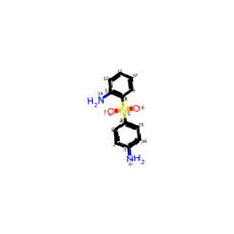 Nc1ccc(S(=O)(=O)c2ccc[c]c2N)cc1